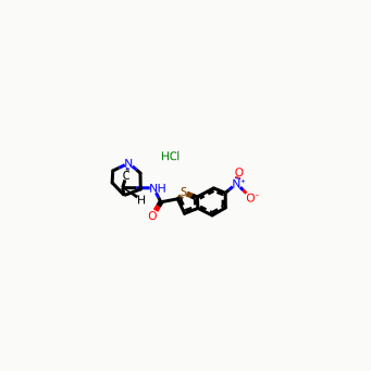 Cl.O=C(N[C@H]1CN2CCC1CC2)c1cc2ccc([N+](=O)[O-])cc2s1